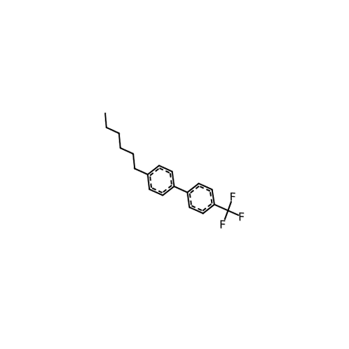 CCCCCCc1ccc(-c2ccc(C(F)(F)F)cc2)cc1